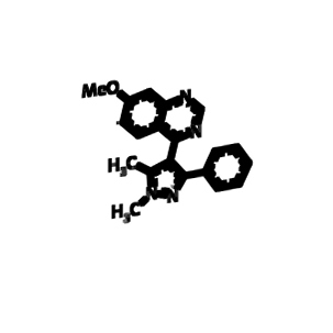 COc1[c]cc2c(-c3c(-c4ccccc4)nn(C)c3C)ncnc2c1